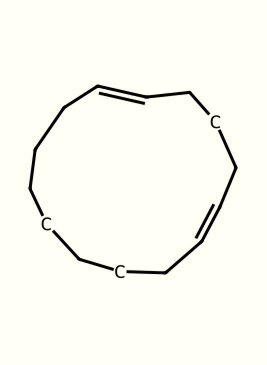 C1=C\CCCCCCC/C=C/CCC/1